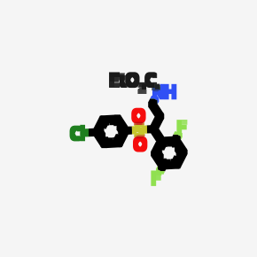 CCOC(=O)NCCC(c1cc(F)ccc1F)S(=O)(=O)c1ccc(Cl)cc1